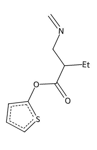 C=NCC(CC)C(=O)Oc1cccs1